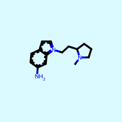 CN1CCCC1CCn1ccc2ccc(N)cc21